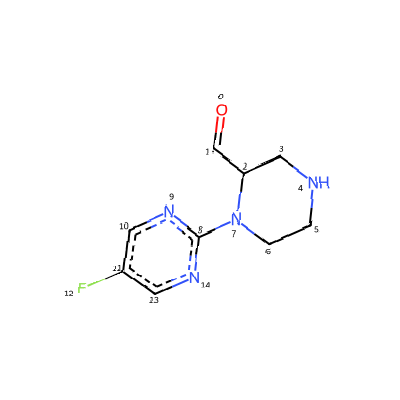 O=[C]C1CNCCN1c1ncc(F)cn1